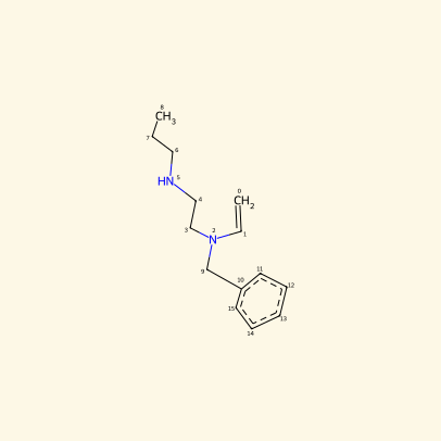 C=CN(CCNCCC)Cc1ccccc1